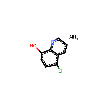 Oc1ccc(Cl)c2cccnc12.[AlH3]